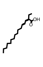 CCCCCCCCCCCC=CC=C(CC)C(=O)O